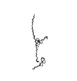 CCCCCCCCCCCCCCCCCCC(COCCCCCCCC/C=C\C[C@@H](CCCCCC)OC1CCCCO1)OC(=O)OCCCN(C)C